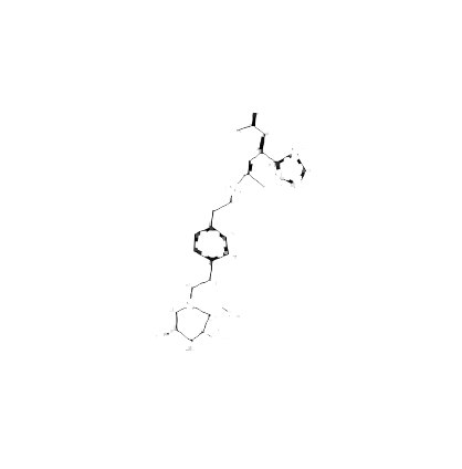 C=C(Cl)/C=C(\C=C(/C)NCCc1ccc(CCN2C[C@H](O)[C@@H](O)[C@H](O)[C@H]2CO)cc1)c1ncon1